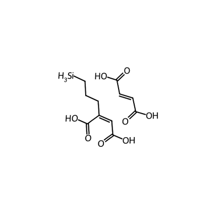 O=C(O)C=C(CCC[SiH3])C(=O)O.O=C(O)C=CC(=O)O